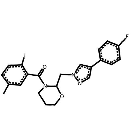 Cc1ccc(I)c(C(=O)N2CCCOC2Cn2cc(-c3ccc(F)cc3)cn2)c1